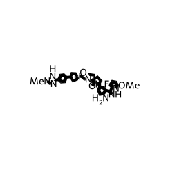 CN/C=N\C(=N)c1ccc(C2CCN(C(=O)CN3CC[C@]4(CCN(c5ccc(N)c(C(=N)c6nc(OC)ccc6F)c5)C4=O)C3)CC2)cc1